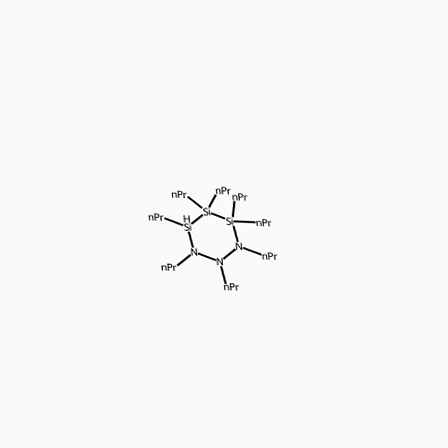 CCCN1N(CCC)[SiH](CCC)[Si](CCC)(CCC)[Si](CCC)(CCC)N1CCC